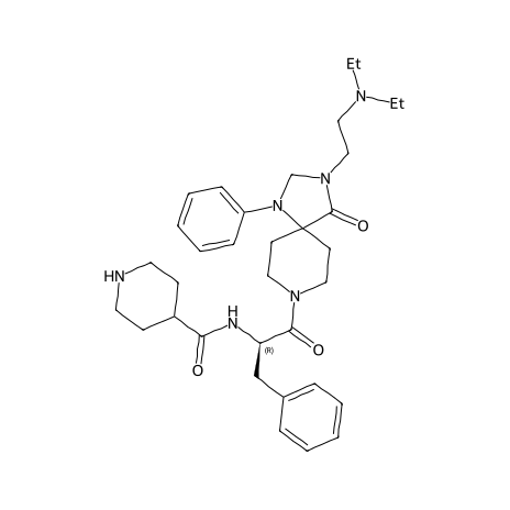 CCN(CC)CCN1CN(c2ccccc2)C2(CCN(C(=O)[C@@H](Cc3ccccc3)NC(=O)C3CCNCC3)CC2)C1=O